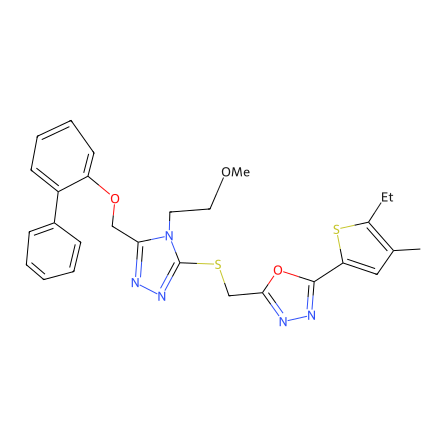 CCc1sc(-c2nnc(CSc3nnc(COc4ccccc4-c4ccccc4)n3CCOC)o2)cc1C